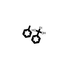 CCC(O)(O)c1ccccc1.Cc1ccccc1